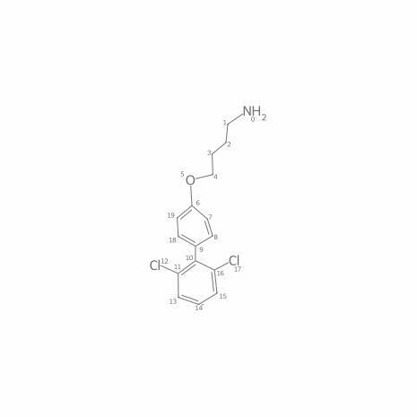 NCCCCOc1ccc(-c2c(Cl)c[c]cc2Cl)cc1